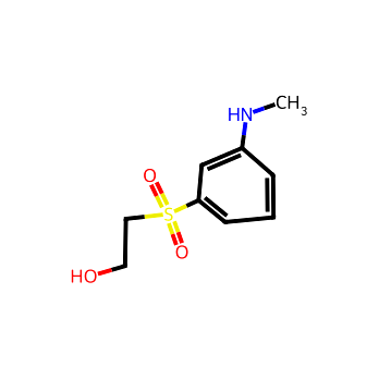 CNc1cccc(S(=O)(=O)CCO)c1